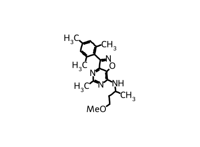 COCCC(C)Nc1nc(C)nc2c(-c3c(C)cc(C)cc3C)noc12